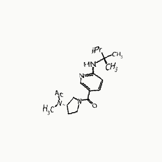 CC(=O)N(C)[C@H]1CCN(C(=O)c2ccc(NC(C)(C)C(C)C)nc2)C1